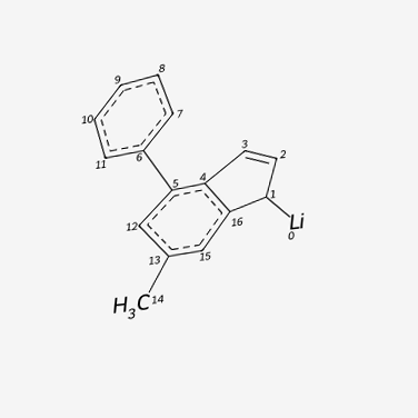 [Li][CH]1C=Cc2c(-c3ccccc3)cc(C)cc21